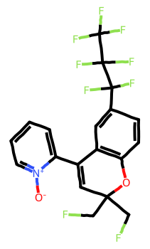 [O-][n+]1ccccc1C1=CC(CF)(CF)Oc2ccc(C(F)(F)C(F)(F)C(F)(F)F)cc21